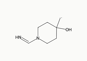 [CH2]C1(O)CCN(C=N)CC1